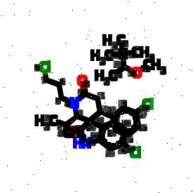 C=C(C)[C@H]1N(CCCCl)C(=O)C[C@@H](c2cccc(Cl)c2)[C@]12C(=O)Nc1cc(Cl)ccc12.COC(C)[Si](C)(C)C